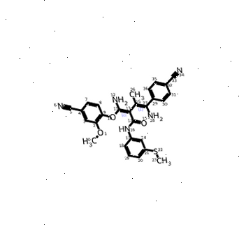 COc1cc(C#N)ccc1O/C(N)=C(C(=O)Nc1cccc(SC)c1)/C(C)=C(\N)c1ccc(C#N)cc1